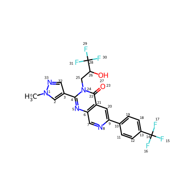 Cn1cc(-c2nc3cnc(-c4ccc(C(F)(F)F)cc4)cc3c(=O)n2CC(O)C(F)(F)F)cn1